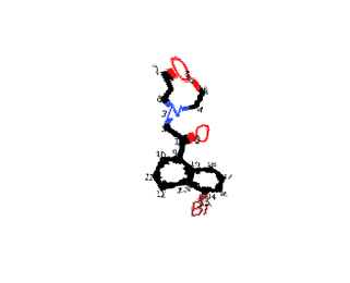 O=C(CN1CCOCC1)c1cccc2c(Br)cccc12